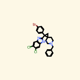 Clc1cc2nc(C3(c4ccc(Br)cc4)CC34CCN(Cc3ccccc3)CC4)[nH]c2cc1Cl